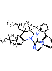 C=CCC1(C)c2cc(C(C)(C)C)ccc2N2c3nccnc3N(c3ccccc3-c3ccccc3)C2C1(C)C